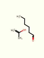 C=C(C)O.CCCCCC=O